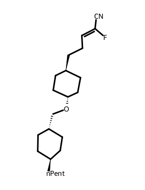 CCCCC[C@H]1CC[C@H](CO[C@H]2CC[C@H](CC/C=C(\F)C#N)CC2)CC1